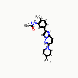 CC1CCN(c2ccc3nc(-c4ccc(C(F)(F)F)c(NC(=O)C(C)(C)C)c4)cn3n2)CC1